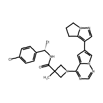 CC[C@H](NC(=O)C1(C)CN(c2ncnn3cc(-c4cnn5c4CCC5)cc23)C1)c1ccc(Cl)cc1